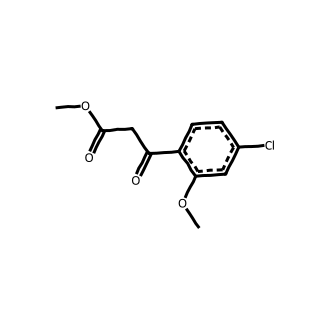 COC(=O)CC(=O)c1ccc(Cl)cc1OC